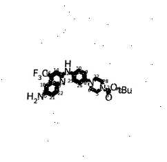 CC(C)(C)OC(=O)N1CCN(c2ccc(Nc3cc(C(F)(F)F)c4cc(N)ccc4n3)cc2)CC1